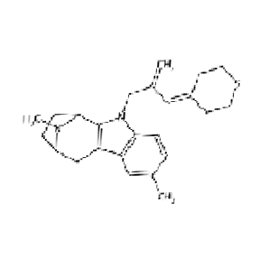 C=C(C=C1CCSCC1)Cn1c2c(c3cc(C)ccc31)CC1CCC2N1C